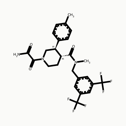 Cc1ccc([C@@H]2CN(C(=O)C(N)=O)CC[C@H]2C(=O)N(C)Cc2cc(C(F)(F)F)cc(C(F)(F)F)c2)cc1